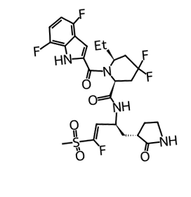 CC[C@H]1CC(F)(F)C[C@@H](C(=O)N[C@H](/C=C(\F)S(C)(=O)=O)C[C@@H]2CCNC2=O)N1C(=O)c1cc2c(F)ccc(F)c2[nH]1